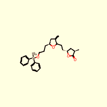 C=C1C[C@H](CCCO[Si](c2ccccc2)(c2ccccc2)C(C)(C)C)OC1CC[C@@H]1C[C@@H](C)C(=O)O1